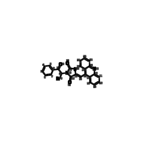 O=C(c1ccccc1)C(Br)N1C(=O)SC(=Cc2c3ccccc3nc3ccccc23)C1=O